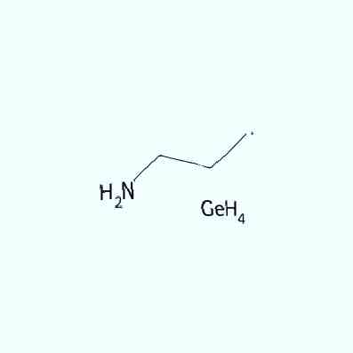 [CH2]CCN.[GeH4]